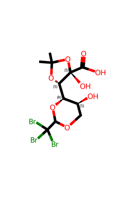 CC1(C)O[C@@H]([C@@H]2OC(C(Br)(Br)Br)OC[C@@H]2O)[C@@](O)(C(=O)O)O1